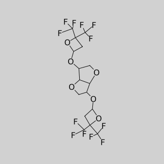 FC(F)(F)C1(C(F)(F)F)CC(OC2COC3C(OC4CC(C(F)(F)F)(C(F)(F)F)O4)COC23)O1